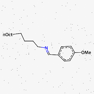 CCCCCCCCCCCCN=Cc1ccc(OC)cc1